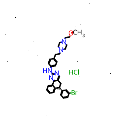 COCCN1CCN(CCc2ccc(Nc3ncc4c(n3)-c3ccccc3[C@H](c3cccc(Br)c3)C4)cc2)CC1.Cl